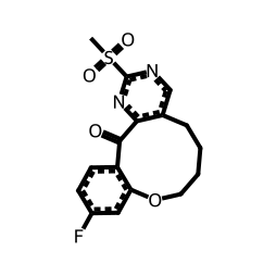 CS(=O)(=O)c1ncc2c(n1)C(=O)c1ccc(F)cc1OCCCC2